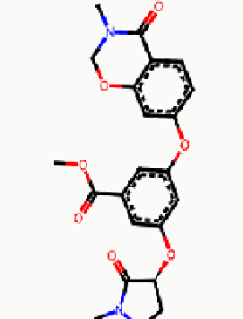 COC(=O)c1cc(Oc2ccc3c(c2)OCN(C)C3=O)cc(O[C@H]2CCN(C)C2=O)c1